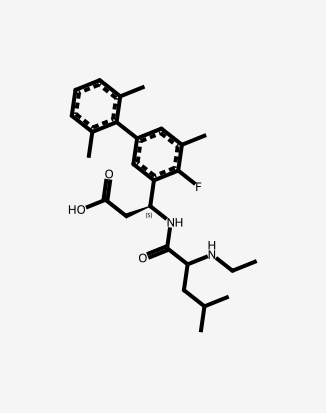 CCNC(CC(C)C)C(=O)N[C@@H](CC(=O)O)c1cc(-c2c(C)cccc2C)cc(C)c1F